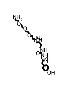 CN(C)[C@H](CNC(=O)NCCc1cn(CCOCCOCCOCCN)nn1)Cc1ccc(O)cc1